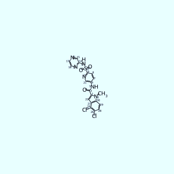 Cn1c(C(=O)Nc2ccc(S(=O)(=O)Nc3cnccn3)nc2)cc2c(Cl)c(Cl)ccc21